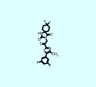 Cc1nc(C(=O)CN2C(=O)NC3(CCC(F)(F)CC3)C2=O)sc1-c1cc(F)cc(F)c1